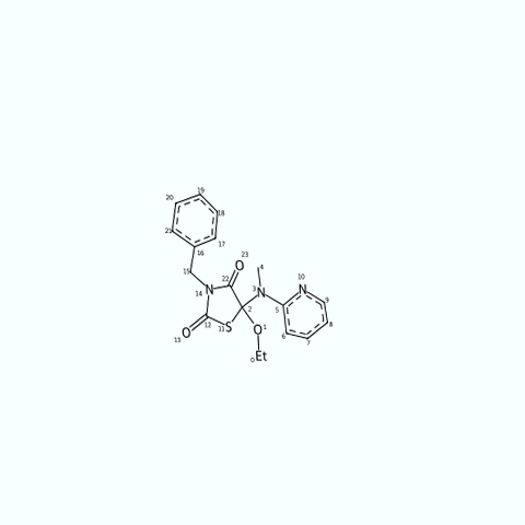 CCOC1(N(C)c2ccccn2)SC(=O)N(Cc2ccccc2)C1=O